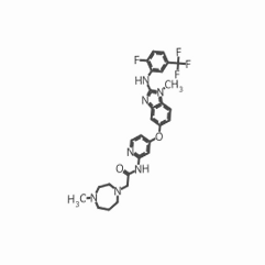 CN1CCCN(CC(=O)Nc2cc(Oc3ccc4c(c3)nc(Nc3cc(C(F)(F)F)ccc3F)n4C)ccn2)CC1